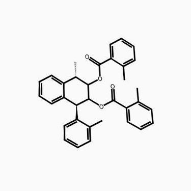 Cc1ccccc1C(=O)OC1C(OC(=O)c2ccccc2C)[C@@H](C)c2ccccc2[C@@H]1c1ccccc1C